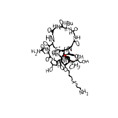 CC[C@H](C)[C@@H]1NC(=O)CNC(=O)C2Cc3c([nH]c4cc(OCCCSSCCN)ccc34)[S@+]([O-])CC(NC(=O)CNC1=O)C(=O)N[C@@H](CC(N)=O)C(=O)N1CC(O)C[C@H]1C(=O)N[C@@H]([C@@H](C)[C@@H](O)CO)C(=O)N2